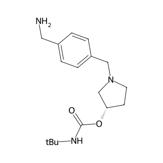 CC(C)(C)NC(=O)O[C@H]1CCN(Cc2ccc(CN)cc2)C1